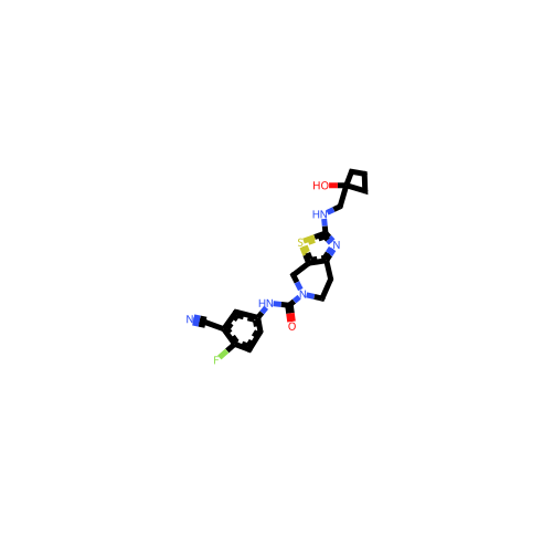 N#Cc1cc(NC(=O)N2CCc3nc(NCC4(O)CCC4)sc3C2)ccc1F